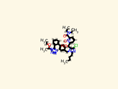 CCCCc1nc(Cl)c(C(O)c2cccc(C(=O)N(CC)CC)[n+]2[O-])n1Cc1ccc(-c2ccccc2-c2nnnn2C(C)OCC)cc1